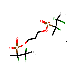 CC(F)(C(F)(F)C(F)(F)F)S(=O)(=O)OCCCOS(=O)(=O)C(C)(F)C(F)(F)C(F)(F)F